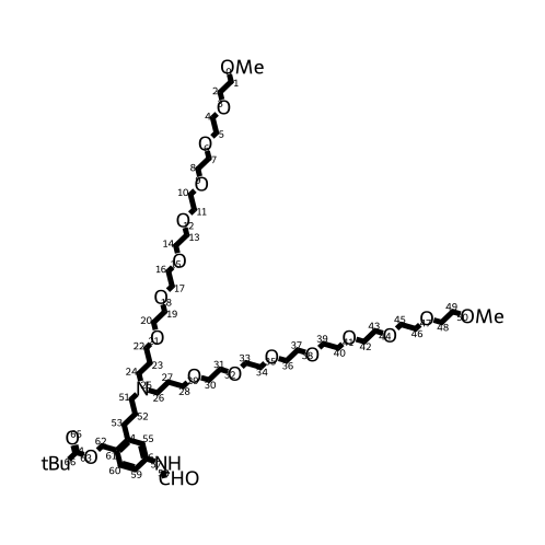 COCCOCCOCCOCCOCCOCCOCCOCCCN(CCCOCCOCCOCCOCCOCCOCCOCCOC)CCCc1cc(NC=O)ccc1COC(=O)C(C)(C)C